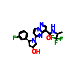 CC(NC(=O)c1cnn2ccc(N3C[C@@H](O)C[C@@H]3c3cccc(F)c3)nc12)C(F)(F)F